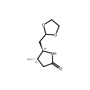 C[C@H]1CC(=O)N[C@@H]1CC1OCCO1